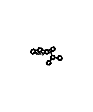 c1ccc(-c2cc(-c3ccccc3)cc(-n3c4ccccc4c4cc5c(cc43)sc3c5ccc4c5ccccc5[nH]c43)c2)cc1